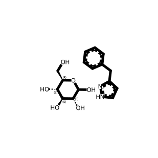 OC[C@H]1OC(O)[C@H](O)[C@@H](O)[C@@H]1O.c1ccc(Cc2cc[nH]n2)cc1